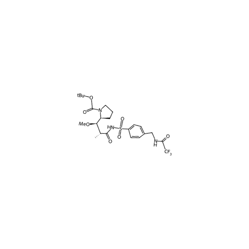 CO[C@H]([C@@H](C)C(=O)NS(=O)(=O)c1ccc(CNC(=O)C(F)(F)F)cc1)[C@@H]1CCCN1C(=O)OC(C)(C)C